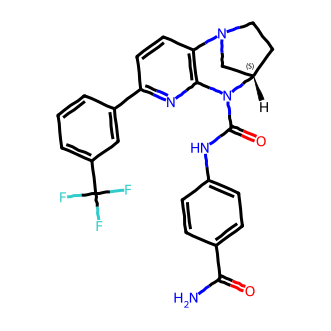 NC(=O)c1ccc(NC(=O)N2c3nc(-c4cccc(C(F)(F)F)c4)ccc3N3CC[C@H]2C3)cc1